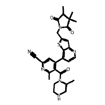 Cc1nc(C#N)cc(-c2ccnc3cc(CN4C(=O)C(C)C(C)(C)C4=O)sc23)c1C(=O)N1CCNCC1C